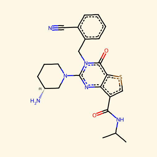 CC(C)NC(=O)c1csc2c(=O)n(Cc3ccccc3C#N)c(N3CCC[C@@H](N)C3)nc12